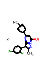 Cc1nn2c(O)cc(-c3ccc(C#N)cc3)nc2c1-c1ccc(F)cc1F.[K]